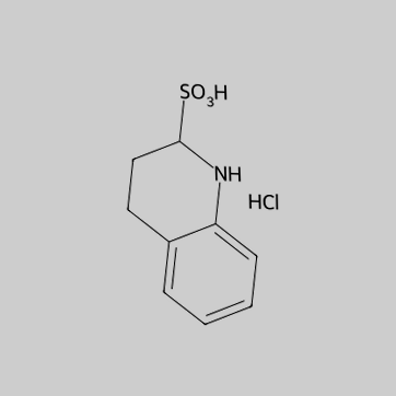 Cl.O=S(=O)(O)C1CCc2ccccc2N1